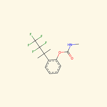 CNC(=O)Oc1ccccc1C(C)(C)C(F)(F)C(F)(F)F